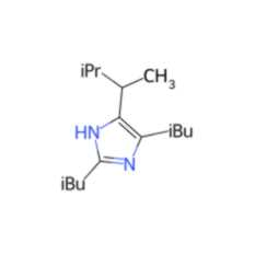 CCC(C)c1nc(C(C)CC)c(C(C)C(C)C)[nH]1